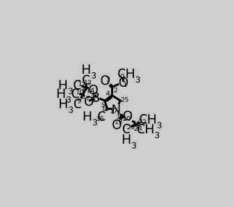 COC(=O)C1=C(B2OC(C)(C)C(C)(C)O2)[C@H](C)N(C(=O)OC(C)(C)C)C1